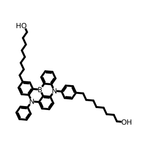 OCCCCCCCCc1ccc(N2c3ccccc3B3c4cc(CCCCCCCCO)ccc4N(c4ccccc4)c4cccc2c43)cc1